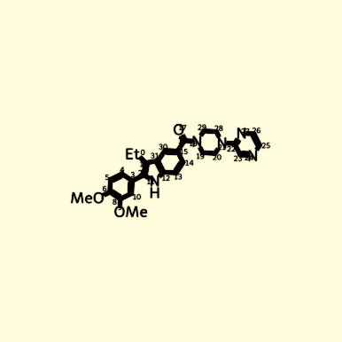 CCc1c(-c2ccc(OC)c(OC)c2)[nH]c2ccc(C(=O)N3CCN(c4cnccn4)CC3)cc12